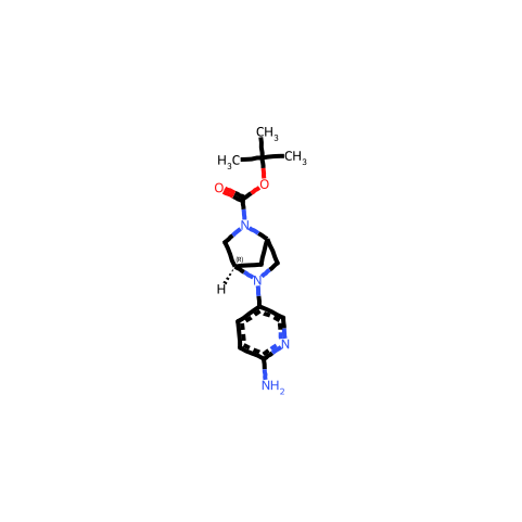 CC(C)(C)OC(=O)N1C[C@H]2CC1CN2c1ccc(N)nc1